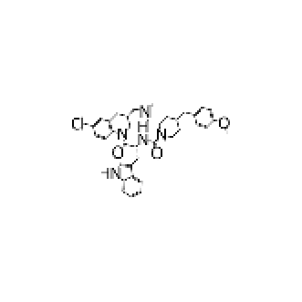 COc1ccc(CC2CCN(C(=O)N[C@H](Cc3c[nH]c4ccccc34)C(=O)N3C[C@H](CN(C)C)Cc4cc(Cl)ccc43)CC2)cc1